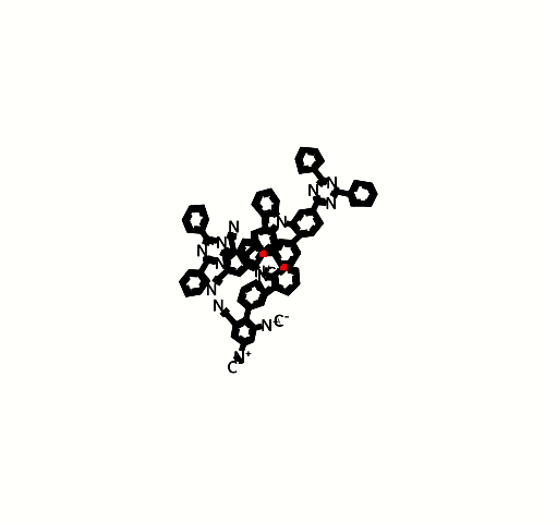 [C-]#[N+]c1cc(C#N)c(-c2ccc3c(c2)c2ccccc2n3-c2cc(-c3nc(-c4ccccc4)nc(-c4ccccc4)n3)ccc2-c2cccc(-c3ccc(-c4nc(-c5ccccc5)nc(-c5ccccc5)n4)cc3-n3c4ccccc4c4cc(-c5c(C#N)cc(C#N)cc5[N+]#[C-])ccc43)c2)c([N+]#[C-])c1